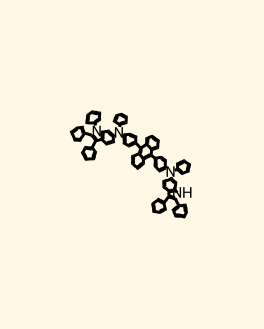 c1ccc(-c2[nH]c3cc(N(c4ccccc4)c4ccc(-c5c6ccccc6c(-c6ccc(N(c7ccccc7)c7ccc8c(-c9ccccc9)c(-c9ccccc9)n(-c9ccccc9)c8c7)cc6)c6ccccc56)cc4)ccc3c2-c2ccccc2)cc1